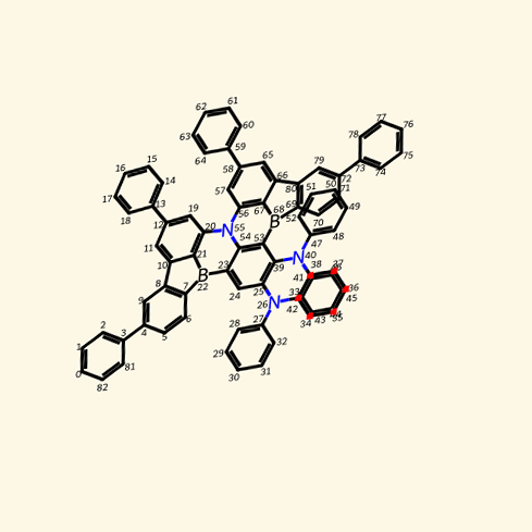 c1ccc(-c2ccc3c(c2)-c2cc(-c4ccccc4)cc4c2B3c2cc(N(c3ccccc3)c3ccccc3)c(N(c3ccccc3)c3ccccc3)c3c2N4c2cc(-c4ccccc4)cc4c2B3c2ccc(-c3ccccc3)cc2-4)cc1